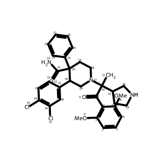 COc1cccc(OC)c1C(=O)C(C)(C1CCNC1)N1CCC(C(N)=O)(c2ccccc2)C(c2ccc(Cl)c(Cl)c2)C1